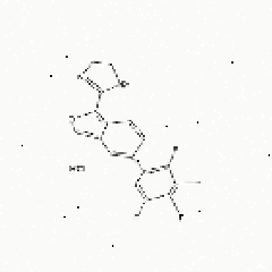 Cc1c(F)c(F)cc(-c2ccc3c(C4=NCCN4)occ3c2)c1F.Cl